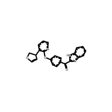 O=C(c1ccc(Oc2ncccc2C2C=COC2)cc1)c1nc2ccccc2[nH]1